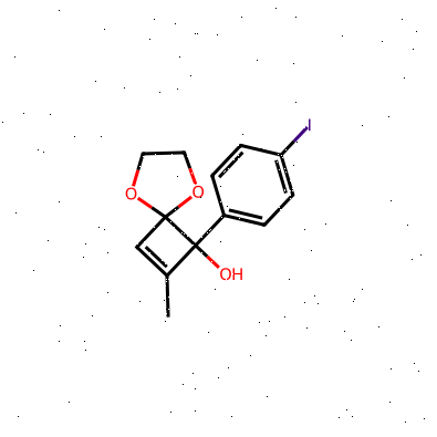 CC1=CC2(OCCO2)C1(O)c1ccc(I)cc1